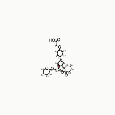 O=C(O)COc1ccc(-c2ccc([C@@]3(CC(=O)NOC4CCCCO4)CCCCS3(=O)=O)s2)cc1